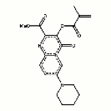 C=C(C)C(=O)Oc1c(C(=O)OC)nc2ccc(N3CCCCC3)cn2c1=O